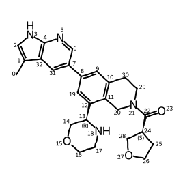 Cc1c[nH]c2ncc(-c3cc4c(c([C@@H]5COCCN5)c3)CN(C(=O)[C@H]3CCOC3)CC4)cc12